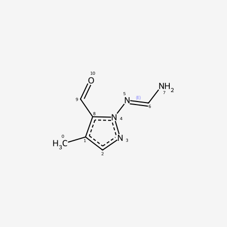 Cc1cnn(/N=C/N)c1C=O